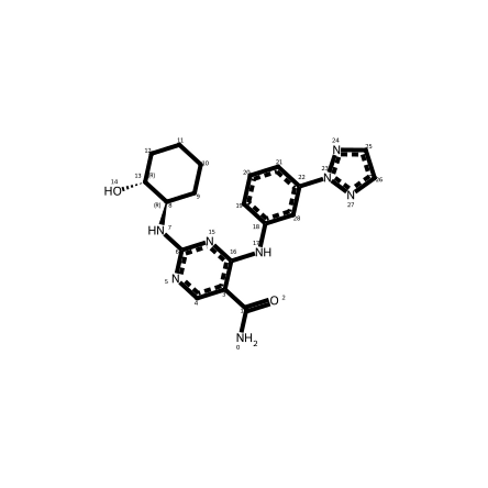 NC(=O)c1cnc(N[C@@H]2CCCC[C@H]2O)nc1Nc1cccc(-n2nccn2)c1